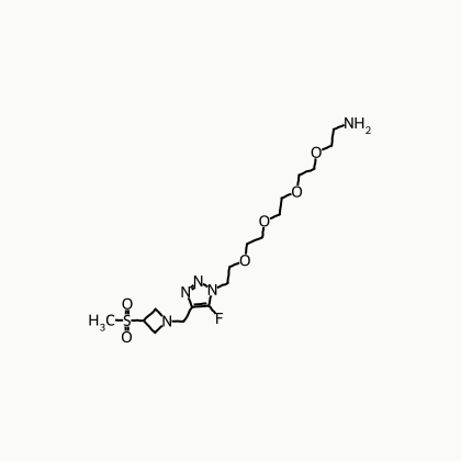 CS(=O)(=O)C1CN(Cc2nnn(CCOCCOCCOCCOCCN)c2F)C1